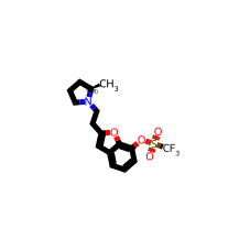 C[C@@H]1CCCN1CCc1cc2cccc(OS(=O)(=O)C(F)(F)F)c2o1